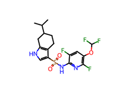 CC(C)C1CCc2c(S(=O)(=O)Nc3nc(F)c(OC(F)F)cc3F)c[nH]c2C1